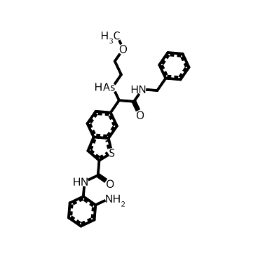 COCC[AsH]C(C(=O)NCc1ccccc1)c1ccc2cc(C(=O)Nc3ccccc3N)sc2c1